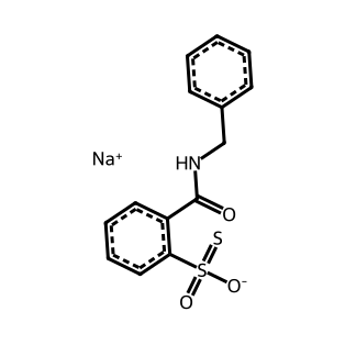 O=C(NCc1ccccc1)c1ccccc1S(=O)([O-])=S.[Na+]